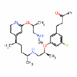 CC(C)NC[C@H](C)Oc1cc(C(C)CCC(C)NC[C@H](C)Oc2cc(F)cc(CCC(=O)C(C)C)c2)ccn1